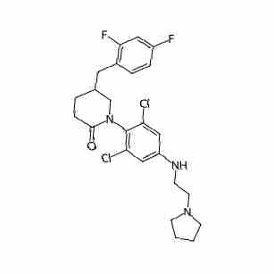 O=C1CCC(Cc2ccc(F)cc2F)CN1c1c(Cl)cc(NCCN2CCCC2)cc1Cl